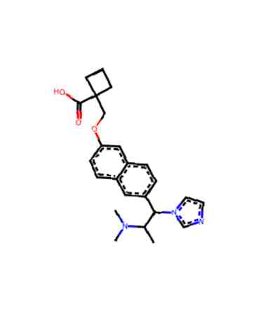 CC(C(c1ccc2cc(OCC3(C(=O)O)CCC3)ccc2c1)n1ccnc1)N(C)C